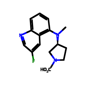 CN(c1cccc2ncc(F)cc12)[C@H]1CCN(C(=O)O)C1